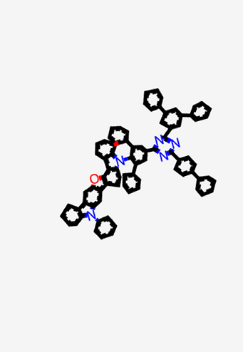 c1ccc(-c2ccc(-c3nc(-c4cc(-c5ccccc5)cc(-c5ccccc5)c4)nc(-c4cc(-c5ccccc5)c(-n5c6ccccc6c6c7oc8cc9c%10ccccc%10n(-c%10ccccc%10)c9cc8c7ccc65)c(-c5ccccc5)c4)n3)cc2)cc1